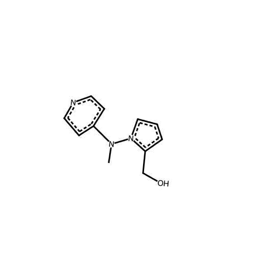 CN(c1ccncc1)n1cccc1CO